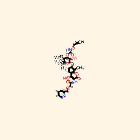 C#CCONC(=O)O[C@@H]1[C@@H](O)[C@H](Oc2ccc3c(O)c(NC(=O)COCc4ccccn4)c(=O)oc3c2C)OC(C)(C)[C@@H]1OC